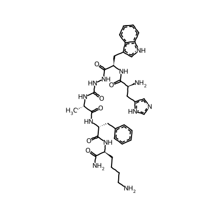 C[C@H](NC(=O)NNC(=O)[C@@H](Cc1c[nH]c2ccccc12)NC(=O)[C@@H](N)Cc1cnc[nH]1)C(=O)N[C@H](Cc1ccccc1)C(=O)N[C@@H](CCCCN)C(N)=O